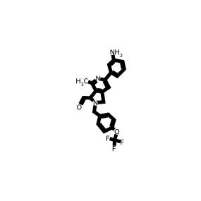 Cc1nc(-c2cccc(N)c2)cc2c1C(C=O)N(Cc1ccc(OC(F)(F)F)cc1)C2